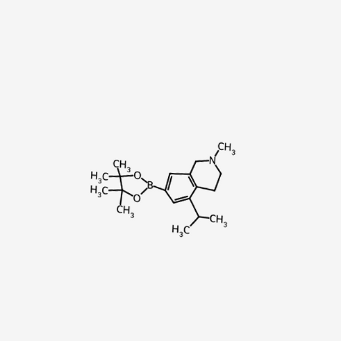 CC(C)c1cc(B2OC(C)(C)C(C)(C)O2)cc2c1CCN(C)C2